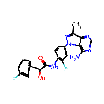 Cc1nn(-c2ccc(NC(=O)C(O)c3cccc(F)c3)c(F)c2)c2c(N)ncnc12